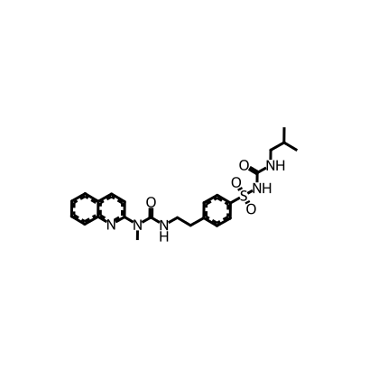 CC(C)CNC(=O)NS(=O)(=O)c1ccc(CCNC(=O)N(C)c2ccc3ccccc3n2)cc1